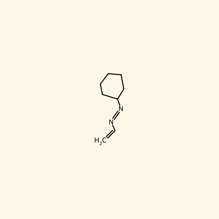 C=CN=NC1CCCCC1